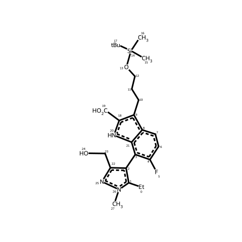 CCc1c(-c2c(F)ccc3c(CCCO[Si](C)(C)C(C)(C)C)c(C(=O)O)[nH]c23)c(CO)nn1C